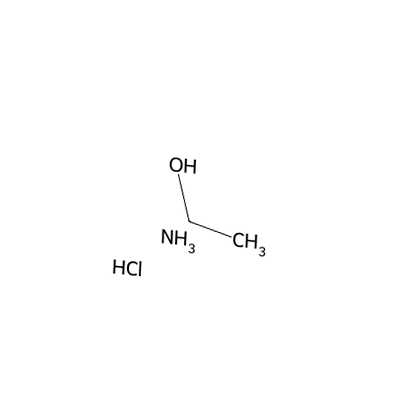 CCO.Cl.N